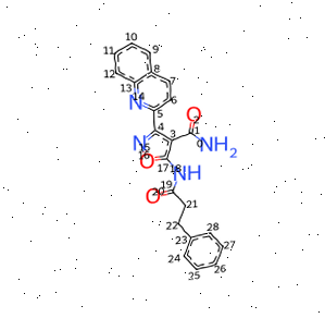 NC(=O)c1c(-c2ccc3ccccc3n2)noc1NC(=O)CCc1ccccc1